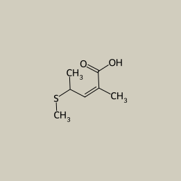 CSC(C)C=C(C)C(=O)O